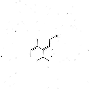 CBC/C=C(\C(C)=C/C)C(C)C